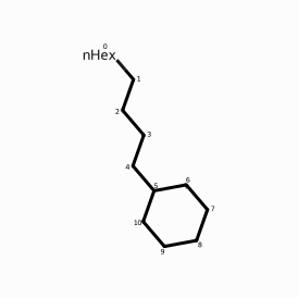 CCCCCCCCCCC1[CH]CCCC1